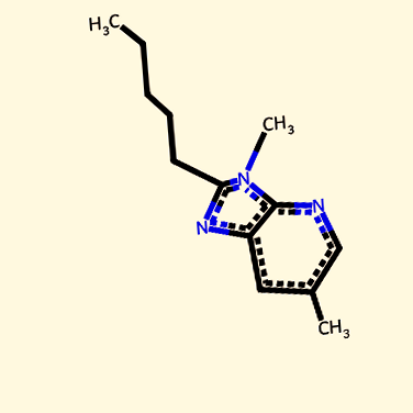 CCCCCc1nc2cc(C)cnc2n1C